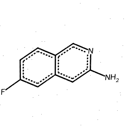 Nc1cc2cc(F)ccc2cn1